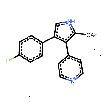 CC(=O)Oc1[nH]cc(-c2ccc(F)cc2)c1-c1ccncc1